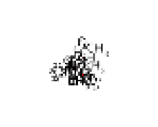 CC(=O)c1ccc([C@H](CCN2C3CCC2CC(n2c(C)nnc2C(C)C)C3)NC(=O)C2CCCC2)s1